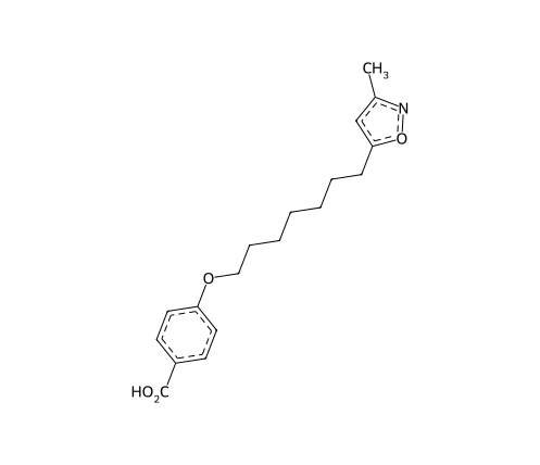 Cc1cc(CCCCCCCOc2ccc(C(=O)O)cc2)on1